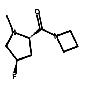 CN1C[C@H](F)C[C@H]1C(=O)N1CCC1